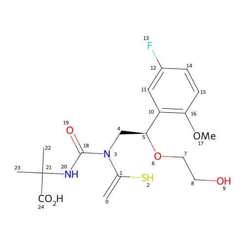 C=C(S)N(C[C@H](OCCO)c1cc(F)ccc1OC)C(=O)NC(C)(C)C(=O)O